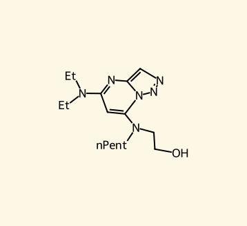 CCCCCN(CCO)c1cc(N(CC)CC)nc2cnnn12